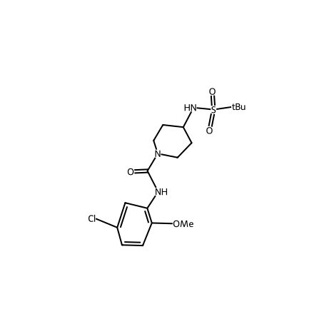 COc1ccc(Cl)cc1NC(=O)N1CCC(NS(=O)(=O)C(C)(C)C)CC1